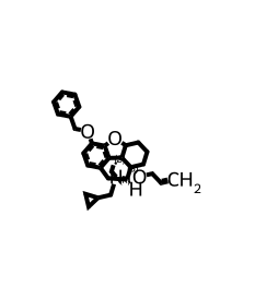 C=CCO[C@@]12CCCC3Oc4c(OCc5ccccc5)ccc5c4[C@@]31CCN(CC1CC1)[C@@H]2C5